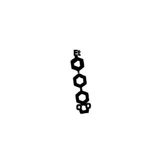 CCc1ccc([C@H]2CC[C@H](C3CCC4(CC3)OCCO4)CC2)cc1